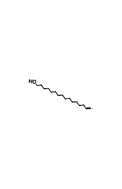 [CH]=CCCCCCCCCCCCCCCO